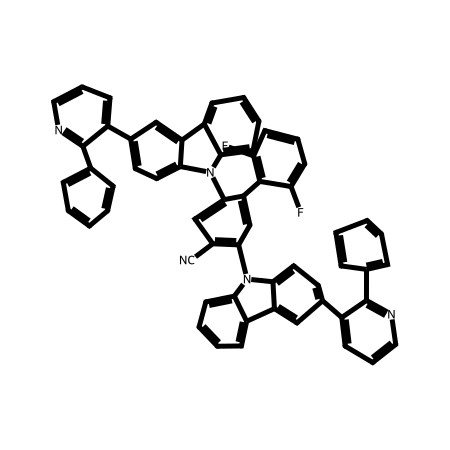 N#Cc1cc(-n2c3ccccc3c3cc(-c4cccnc4-c4ccccc4)ccc32)c(-c2c(F)cccc2F)cc1-n1c2ccccc2c2cc(-c3cccnc3-c3ccccc3)ccc21